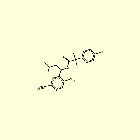 Bc1cnc(C#N)nc1N(CC(C)C)NC(=O)C(C)(C)c1ccc(Cl)cc1